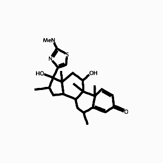 CNc1nc(C2(O)C(C)CC3C4CC(C)C5=CC(=O)C=CC5(C)C4(C)C(O)CC32C)cs1